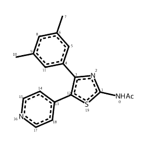 CC(=O)Nc1nc(-c2cc(C)cc(C)c2)c(-c2ccncc2)s1